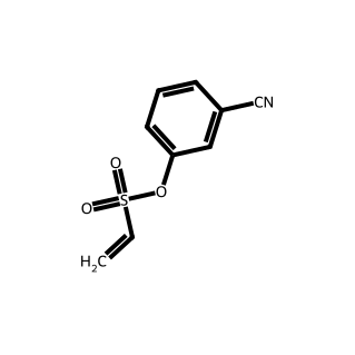 C=CS(=O)(=O)Oc1cccc(C#N)c1